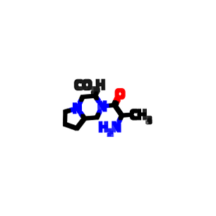 CC(N)C(=O)N1CC2CCCN2CC1C(=O)O